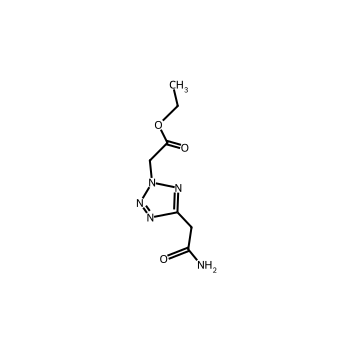 CCOC(=O)Cn1nnc(CC(N)=O)n1